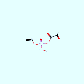 C=COP(=O)(OC)OC(=O)C(C)=O